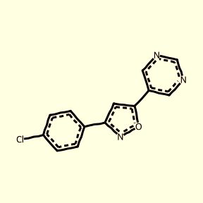 Clc1ccc(-c2cc(-c3cncnc3)on2)cc1